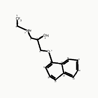 OC(CNCC(F)(F)F)COc1cccc2ccccc12